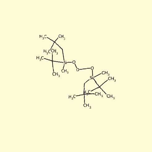 CC(C)(C)C[Si](C)(OOO[Si](C)(CC(C)(C)C)C(C)(C)C)C(C)(C)C